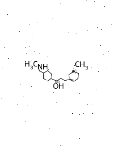 CC[C@@H]1CCC=C(CC[C@H](O)C2CCC(CNC)CC2)C1